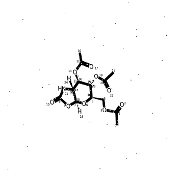 CC(=O)OC[C@H]1O[C@H]2OC(=O)N[C@@H]2[C@@H](OC(C)=O)[C@@H]1OC(C)=O